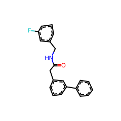 O=C(Cc1cccc(-c2ccccc2)c1)NCc1cccc(F)c1